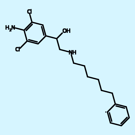 Nc1c(Cl)cc(C(O)CNCCCCCCc2[c]cccc2)cc1Cl